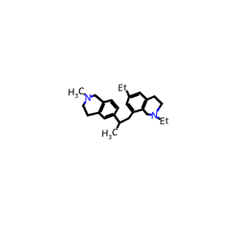 CCc1cc2c(c(CC(C)c3ccc4c(c3)CCN(C)C4)c1)CN(CC)CC2